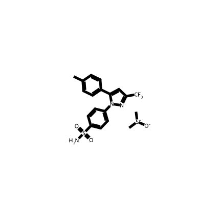 C[S+](C)[O-].Cc1ccc(-c2cc(C(F)(F)F)nn2-c2ccc(S(N)(=O)=O)cc2)cc1